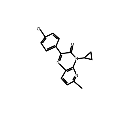 Cc1ccc2nc(-c3ccc(Cl)cc3)c(=O)n(C3CC3)c2n1